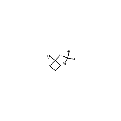 [2H]C([2H])([2H])OC1(N)CCC1